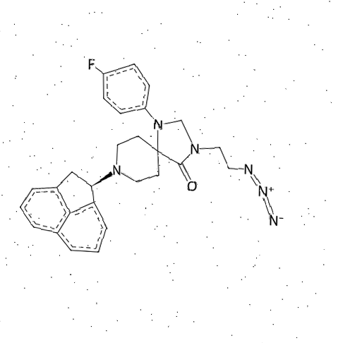 [N-]=[N+]=NCCN1CN(c2ccc(F)cc2)C2(CCN([C@@H]3Cc4cccc5cccc3c45)CC2)C1=O